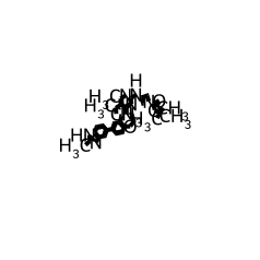 Cc1nc2cc(-c3ccc4c(c3)CN(c3nc(NC5CN(C(=O)OC(C)(C)C)C5)nc(C)c3C(C)C)CCO4)ccc2[nH]1